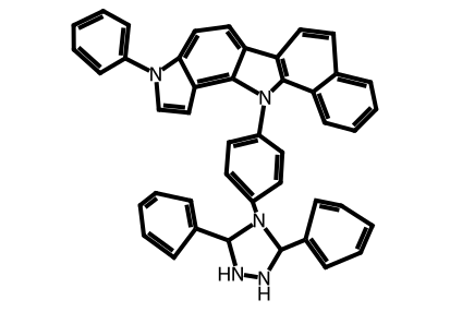 c1ccc(C2NNC(c3ccccc3)N2c2ccc(-n3c4c5ccccc5ccc4c4ccc5c(ccn5-c5ccccc5)c43)cc2)cc1